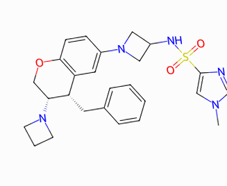 Cn1cnc(S(=O)(=O)NC2CN(c3ccc4c(c3)[C@H](Cc3ccccc3)[C@H](N3CCC3)CO4)C2)c1